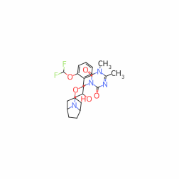 Cc1nc(=O)n(CC(O)CN2C3CCC2CC(OCc2ccccc2OC(F)F)C3)c(=O)n1C